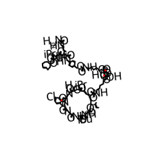 C/C=C(\C)[C@H]1OC(=O)[C@H](C)NC(=O)[C@H]([C@H](C)CC)NC(=O)CN(C)C(=O)[C@@H](Cc2ccc(Cl)cc2)N(C)C(=O)[C@H](C)NC(=O)[C@@H](CC(C)C)OC(=O)/C(C)=C/C[C@H](OC(=O)NCCCCCOP(=O)(O)OP(=O)(O)OCCCCCNC(=O)OCc2ccc(NC(=O)[C@@H](CCCNC(N)=O)NC(=O)[C@H](NC(=O)OC3CC/C=C/CCC3)C(C)C)cc2)[C@@H]1C